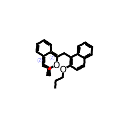 C=C/C=c1/cccc/c1=C(\Cc1c(OCCC)ccc2ccccc12)OC(C)C